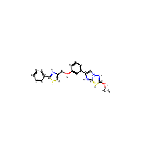 COc1nn2cc(-c3cccc(OCc4csc(-c5ccccc5)n4)c3)nc2s1